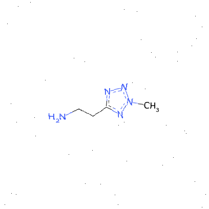 Cn1nnc(CCN)n1